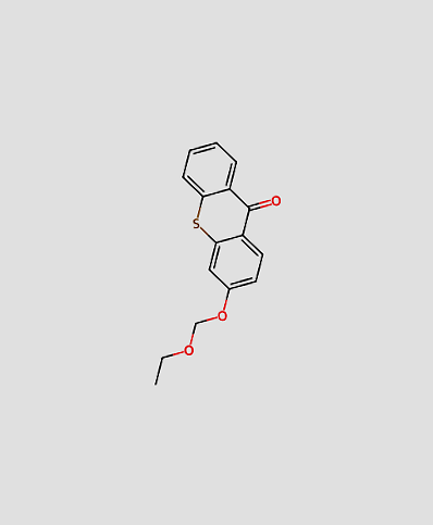 CCOCOc1ccc2c(=O)c3ccccc3sc2c1